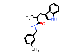 Cc1cccc(CNC(=O)C(C)Cc2c[nH]c3ccccc23)c1